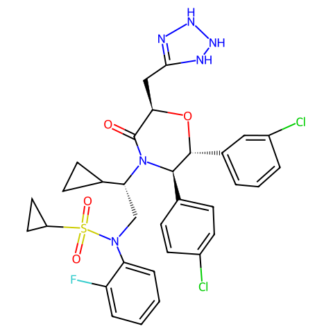 O=C1[C@@H](CC2=NNNN2)O[C@H](c2cccc(Cl)c2)[C@@H](c2ccc(Cl)cc2)N1[C@H](CN(c1ccccc1F)S(=O)(=O)C1CC1)C1CC1